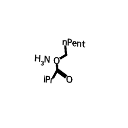 CCCCCCOC(=O)C(C)C.N